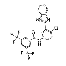 O=C(Nc1ccc(Cl)c(-c2nc3ccccc3[nH]2)c1)c1cc(C(F)(F)F)cc(C(F)(F)F)c1